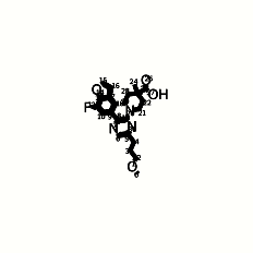 COCCCc1cnc(-c2cc(F)c3occc3c2)c(N2CCC(C)(C(=O)O)CC2)n1